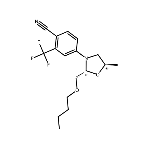 CCCCOC[C@H]1O[C@H](C)CN1c1ccc(C#N)c(C(F)(F)F)c1